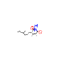 C=C/C=C(C)/C=C\C=C1\C(=O)NC(=O)C(C)=C1C